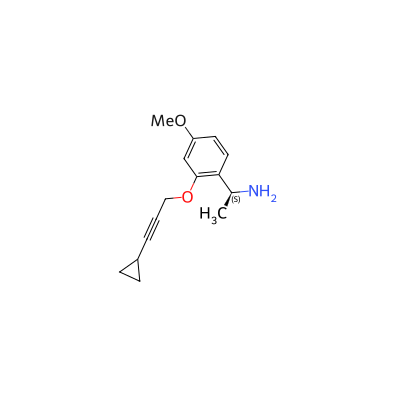 COc1ccc([C@H](C)N)c(OCC#CC2CC2)c1